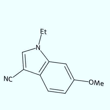 CCn1cc(C#N)c2ccc(OC)cc21